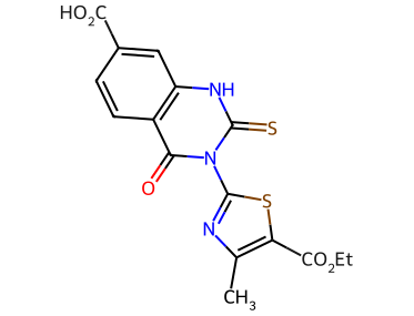 CCOC(=O)c1sc(-n2c(=S)[nH]c3cc(C(=O)O)ccc3c2=O)nc1C